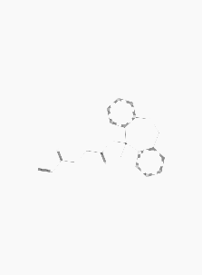 C=CC(=O)OCC(=O)OC1(C)c2ccccc2CSc2ccccc21